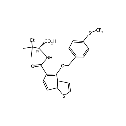 CCC(C)(C)[C@H](NC(=O)C1=C(OCc2ccc(SC(F)(F)F)cc2)C2C=CSC2C=C1)C(=O)O